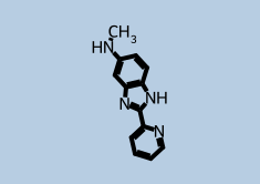 CNc1ccc2[nH]c(-c3ccccn3)nc2c1